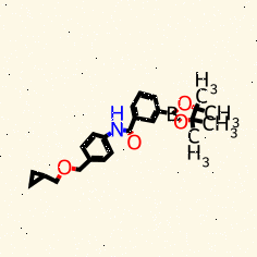 CC1(C)OB(c2cccc(C(=O)Nc3ccc(COCC4CC4)cc3)c2)OC1(C)C